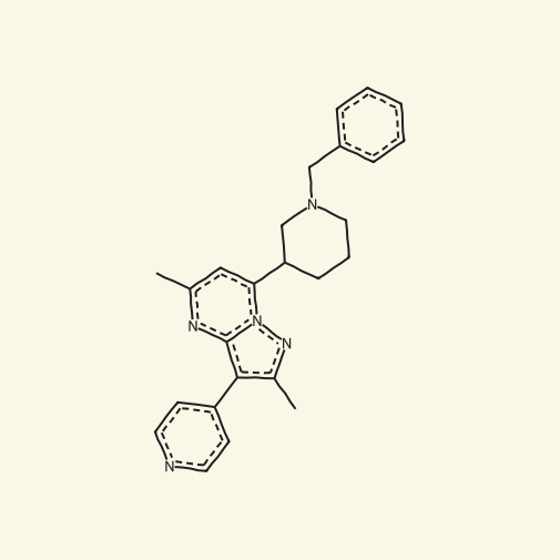 Cc1cc(C2CCCN(Cc3ccccc3)C2)n2nc(C)c(-c3ccncc3)c2n1